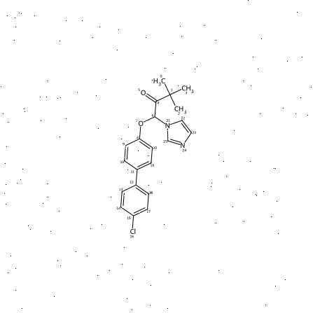 CC(C)(C)C(=O)C(Oc1ccc(-c2ccc(Cl)cc2)cc1)n1ccnc1